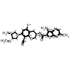 CO[C@H]1CN(c2cc(F)c3c(c2C#N)OC[C@H](NC(=O)c2sc4nc(C)cnc4c2N)C3)C[C@@H]1N